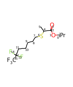 CC(C)OC(=O)C(C)SCCCCCC(F)(F)C(F)(F)F